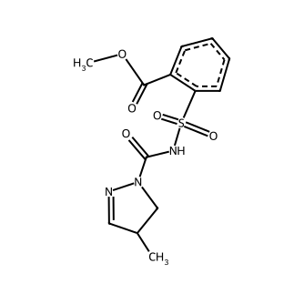 COC(=O)c1ccccc1S(=O)(=O)NC(=O)N1CC(C)C=N1